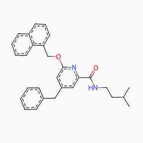 CC(C)CCNC(=O)c1cc(Cc2ccccc2)cc(OCc2cccc3ccccc23)n1